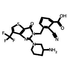 N#Cc1c(Cn2c(N3CCCC(N)C3)nc3c(C(F)(F)F)csc3c2=O)cccc1C(=O)O